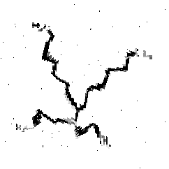 C=CCN(CC=C)C(CCCCCCC)CCCCCCC